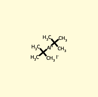 C[C](C)(C)[Al+][C](C)(C)C.[I-]